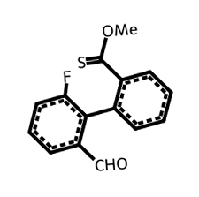 COC(=S)c1ccccc1-c1c(F)cccc1C=O